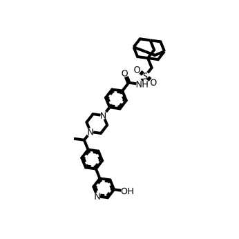 CC(c1ccc(-c2cncc(O)c2)cc1)N1CCN(c2ccc(C(=O)NS(=O)(=O)CC34CC5CC(CC(C5)C3)C4)cc2)CC1